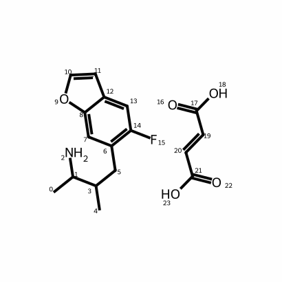 CC(N)C(C)Cc1cc2occc2cc1F.O=C(O)/C=C/C(=O)O